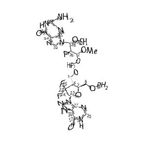 COC(OPOC[C@@H]1[C@@H](COP)O[C@@H](n2nnc3c(=O)[nH]cnc32)C1(F)F)[C@@H](F)[C@@H](OS)n1cnc2c(=O)[nH]c(N)nc21